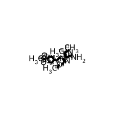 CCOCc1nc2c(N)nc(C)c(C)c2n1CCC1CCN(S(C)(=O)=O)CC1